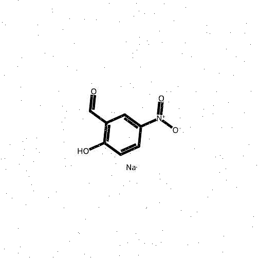 O=Cc1cc([N+](=O)[O-])ccc1O.[Na]